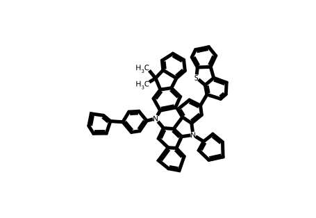 CC1(C)c2ccccc2-c2ccc(N(c3ccc(-c4ccccc4)cc3)c3cc4ccccc4c4c3c3ccc(-c5cccc6c5sc5ccccc56)cc3n4-c3ccccc3)cc21